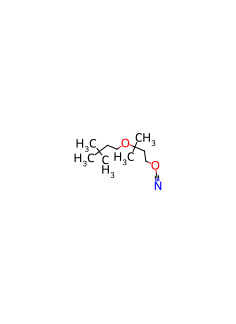 CC(C)(C)CCOC(C)(C)CCOC#N